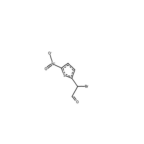 O=CC(Br)c1ccc([N+](=O)[O-])s1